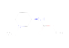 CON1CCC[C@@H](NC(=O)OC(C)(C)C)C1